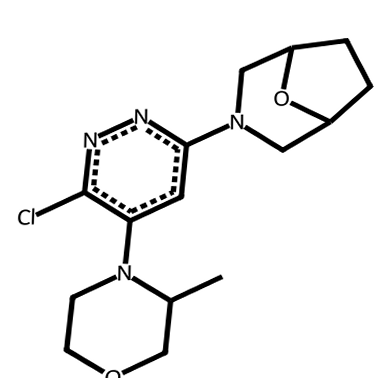 CC1COCCN1c1cc(N2CC3CCC(C2)O3)nnc1Cl